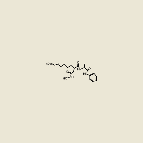 CCCCCCCCCCCCCCCCC(CC(=O)NO)C(=O)NC(C)C(=S)Nc1ccccc1